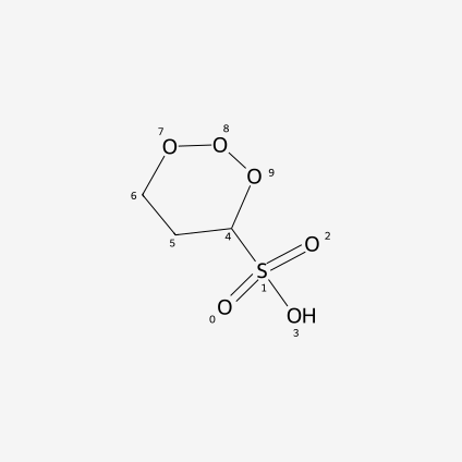 O=S(=O)(O)C1CCOOO1